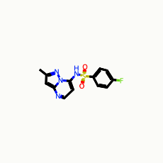 Cc1cc2nccc(NS(=O)(=O)c3ccc(F)cc3)n2n1